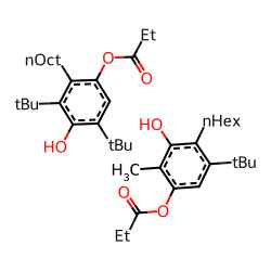 CCCCCCCCc1c(OC(=O)CC)cc(C(C)(C)C)c(O)c1C(C)(C)C.CCCCCCc1c(C(C)(C)C)cc(OC(=O)CC)c(C)c1O